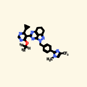 [2H]C([2H])([2H])Oc1ncnc(C2CC2)c1-c1nc2c3c(nn(Cc4ccc(-c5nc(C(F)(F)F)cn5C)cc4)c3n1)CCC2